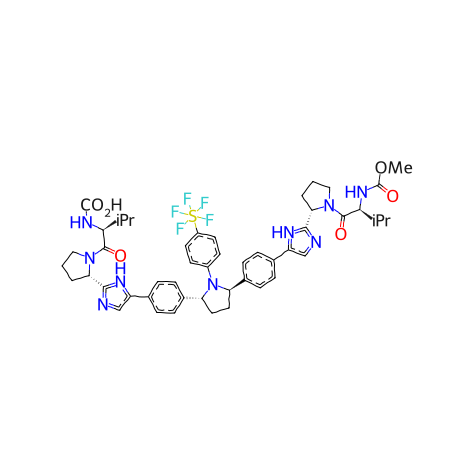 COC(=O)N[C@H](C(=O)N1CCC[C@H]1c1ncc(-c2ccc([C@H]3CC[C@H](c4ccc(-c5cnc([C@@H]6CCCN6C(=O)[C@@H](NC(=O)O)C(C)C)[nH]5)cc4)N3c3ccc(S(F)(F)(F)(F)F)cc3)cc2)[nH]1)C(C)C